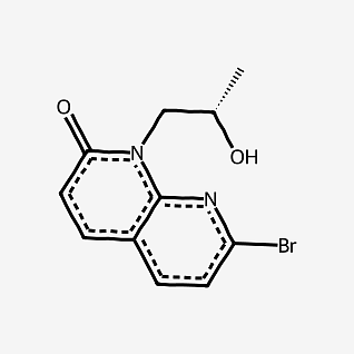 C[C@H](O)Cn1c(=O)ccc2ccc(Br)nc21